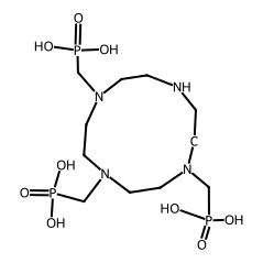 O=P(O)(O)CN1CCNCCN(CP(=O)(O)O)CCN(CP(=O)(O)O)CC1